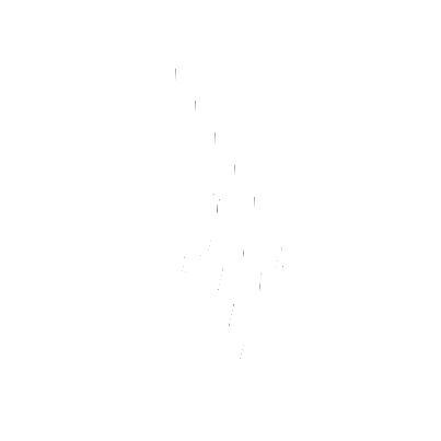 CCC(CC)[N+](=O)[O-].CCCCCCCC(C)[N+](=O)[O-].CCCCCCCCC(CC)[N+](=O)[O-]